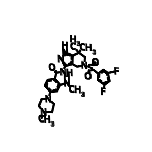 CNc1cc(N2CCN(C)CC2)ccc1C(=O)Nc1n[nH]c2c1CN(S(=O)(=O)c1cc(F)cc(F)c1)CC2(C)C